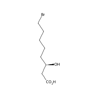 O=C(O)C[C@H](O)CCCCCBr